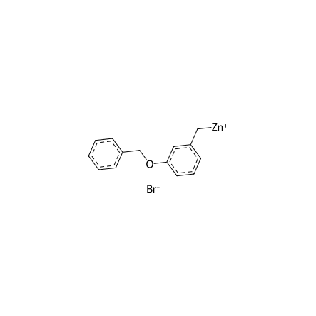 [Br-].[Zn+][CH2]c1cccc(OCc2ccccc2)c1